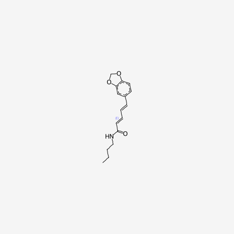 CCCCNC(=O)/C=C/C=Cc1ccc2c(c1)OCO2